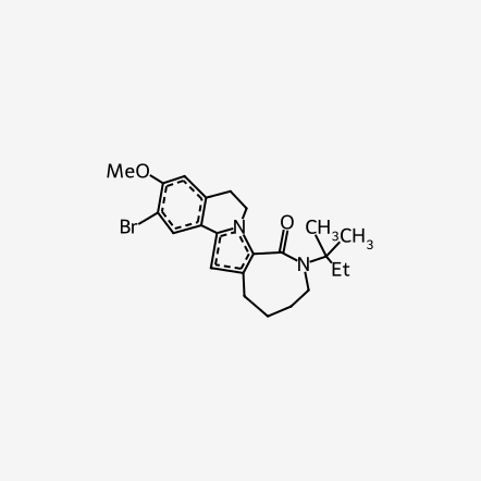 CCC(C)(C)N1CCCCc2cc3n(c2C1=O)CCc1cc(OC)c(Br)cc1-3